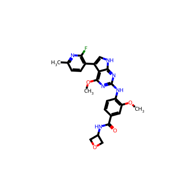 COc1cc(C(=O)NC2COC2)ccc1Nc1nc(OC)c2c(-c3ccc(C)nc3F)c[nH]c2n1